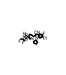 CCc1cc2c(cc1F)c(C#N)c(-c1ccc(S(=O)(=O)NC(CF)CF)cn1)n2C1CCCC1